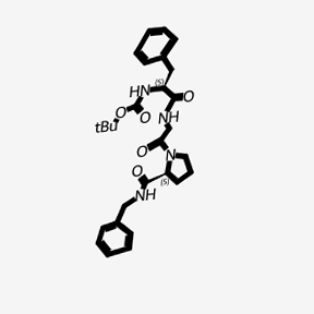 CC(C)(C)OC(=O)N[C@@H](Cc1ccccc1)C(=O)NCC(=O)N1CCC[C@H]1C(=O)NCc1ccccc1